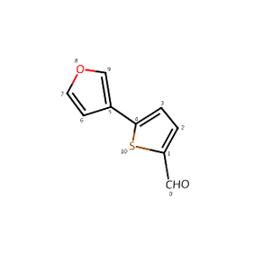 O=Cc1ccc(-c2ccoc2)s1